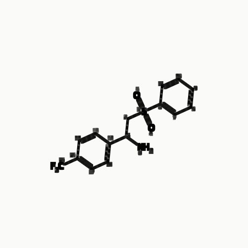 NC(CS(=O)(=O)c1ccccc1)c1ccc(C(F)(F)F)cc1